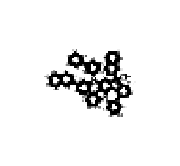 CC1(c2ccc3ccccc3c2)c2cccc3c2-c2c1cc(N(c1cccc(-c4ccccc4)c1)c1cccc(-c4ccc5ccccc5c4)c1)c1c4ccccc4n(c21)-c1ccccc1-3